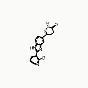 O=C1CCC(c2ccc3[nH]c(-c4cccnc4Cl)nc3c2)=NN1